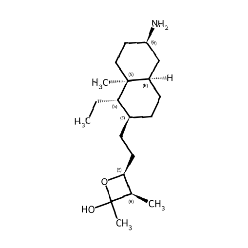 CC[C@H]1[C@H](CC[C@@H]2OC(C)(O)[C@@H]2C)CC[C@@H]2C[C@H](N)CC[C@@]21C